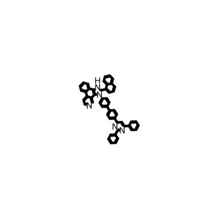 c1ccc(-c2cc(-c3ccc(-c4ccc(N5c6c(c7ccccc7c7ccncc67)NC5c5cccc6ccccc56)cc4)cc3)nc(-c3ccccc3)n2)cc1